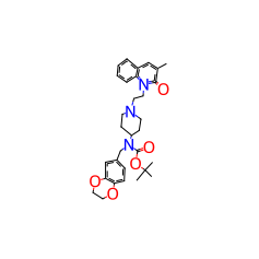 Cc1cc2ccccc2n(CCN2CCC(N(Cc3ccc4c(c3)OCCO4)C(=O)OC(C)(C)C)CC2)c1=O